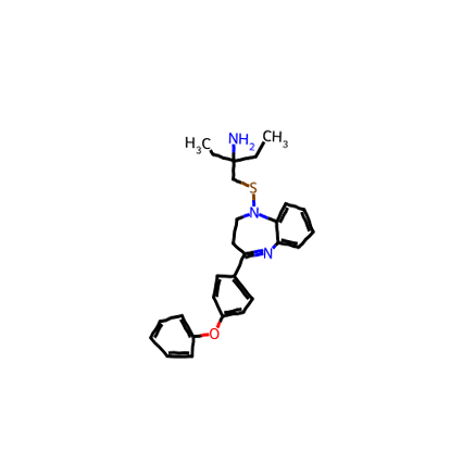 CCC(N)(CC)CSN1CCC(c2ccc(Oc3ccccc3)cc2)=Nc2ccccc21